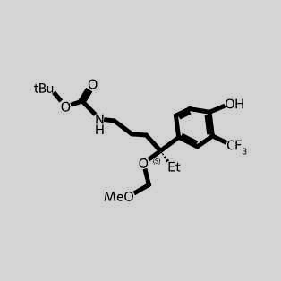 CC[C@@](CCCNC(=O)OC(C)(C)C)(OCOC)c1ccc(O)c(C(F)(F)F)c1